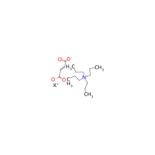 CCC[N+](CCC)(CCC)CCC.O=C([O-])/C=C/C(=O)[O-].[K+]